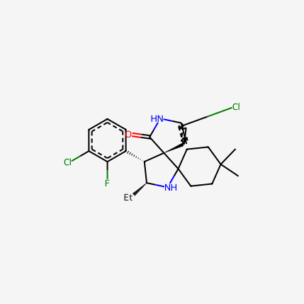 CC[C@@H]1NC2(CCC(C)(C)CC2)[C@@]2(C(=O)Nc3cc(Cl)ccc32)[C@H]1c1cccc(Cl)c1F